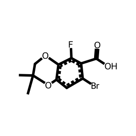 CC1(C)COc2c(cc(Br)c(C(=O)O)c2F)O1